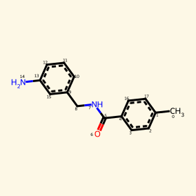 Cc1ccc(C(=O)NCc2cccc(N)c2)cc1